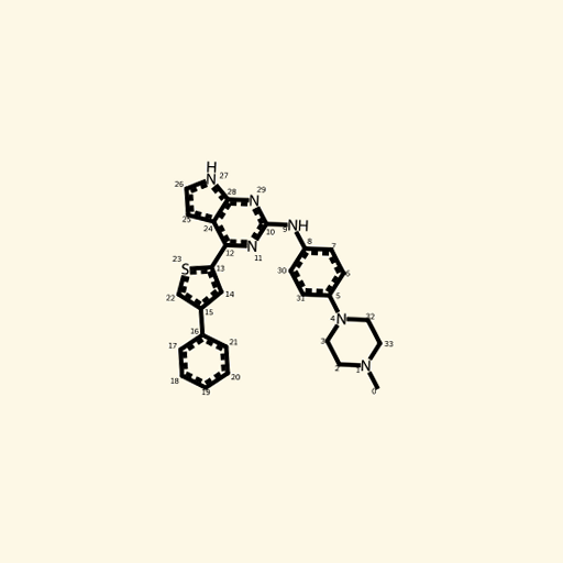 CN1CCN(c2ccc(Nc3nc(-c4cc(-c5ccccc5)cs4)c4cc[nH]c4n3)cc2)CC1